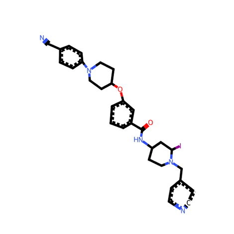 N#Cc1ccc(N2CCC(Oc3cccc(C(=O)NC4CCN(Cc5ccncc5)C(I)C4)c3)CC2)cc1